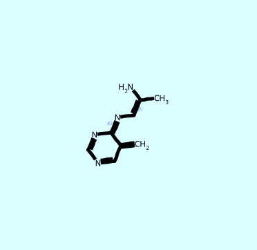 C=C1C=NC=N/C1=N/C=C(/C)N